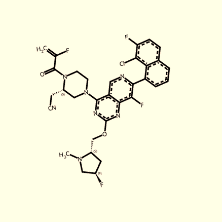 C=C(F)C(=O)N1CCN(c2nc(OC[C@@H]3C[C@@H](F)CN3C)nc3c(F)c(-c4cccc5ccc(F)c(Cl)c45)ncc23)C[C@@H]1CC#N